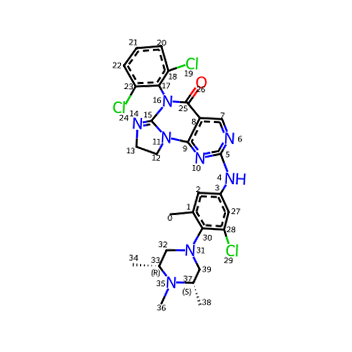 Cc1cc(Nc2ncc3c(n2)N2CCN=C2N(c2c(Cl)cccc2Cl)C3=O)cc(Cl)c1N1C[C@@H](C)N(C)[C@@H](C)C1